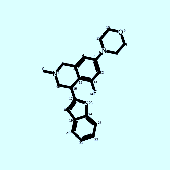 CN1Cc2cc(N3CCOCC3)cc(F)c2C(c2cc3ccccc3s2)C1